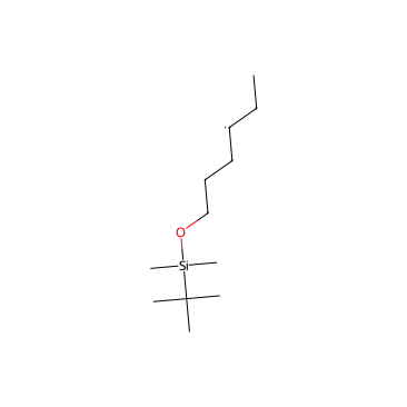 CC[CH]CCCO[Si](C)(C)C(C)(C)C